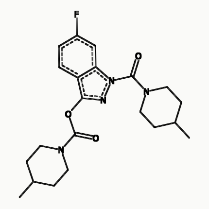 CC1CCN(C(=O)Oc2nn(C(=O)N3CCC(C)CC3)c3cc(F)ccc23)CC1